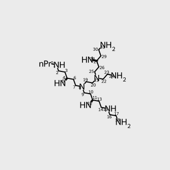 CCCNCCC(=N)CCN(CCC(=N)CCNCCN)CCN(CCN)CCC(=N)CCN